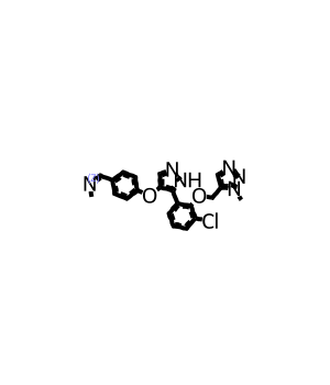 C/N=C\c1ccc(Oc2cn[nH]c2-c2cccc(Cl)c2OCc2cnnn2C)cc1